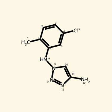 Cc1ccc(Cl)cc1Nn1cc(N)nn1